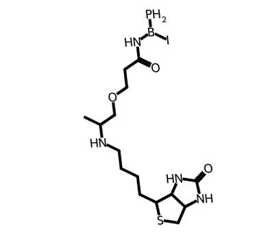 CC(COCCC(=O)NB(P)I)NCCCCC1SCC2NC(=O)NC21